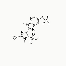 CCS(=O)(=O)c1c(-c2nc3cc(SC(F)(F)F)cnc3n2C)nc(C2CC2)n1C